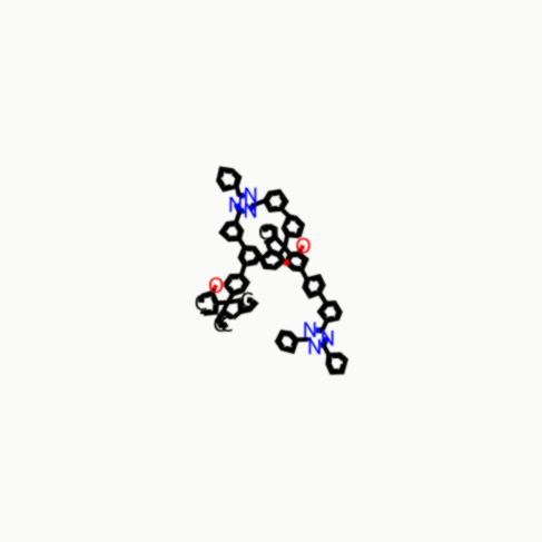 c1ccc(-c2nc(-c3ccccc3)nc(-c3cccc(-c4ccc(-c5ccc6c(c5)Oc5ccc(-c7cccc(-c8nc(-c9ccccc9)nc(-c9cccc(-c%10cccc(-c%11ccc%12c(c%11)Oc%11ccccc%11C%12%11c%12ccccc%12-c%12ccccc%12%11)c%10)c9)n8)c7)cc5C65c6ccccc6-c6ccccc65)cc4)c3)n2)cc1